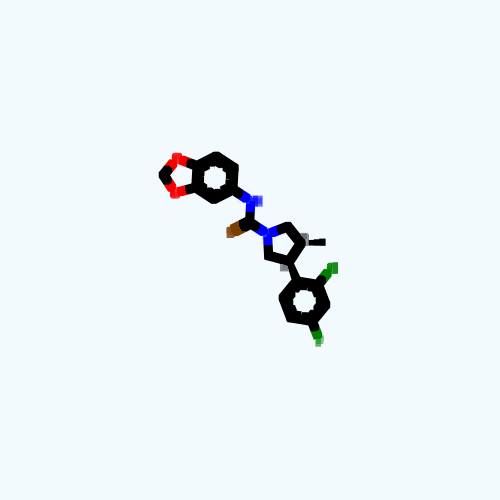 C[C@H]1CN(C(=S)Nc2ccc3c(c2)OCO3)C[C@@H]1c1ccc(F)cc1Cl